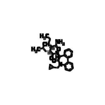 CCC[C@H](C(N)=O)[C@@H](CC(C)C)C(=O)NC1C(=O)N(CC2CC2)c2ccccc2-c2ccccc21